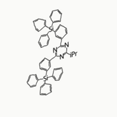 CC(C)c1nc(-c2cccc([Si](c3ccccc3)(c3ccccc3)c3ccccc3)c2)nc(-c2cccc([Si](c3ccccc3)(c3ccccc3)c3ccccc3)c2)n1